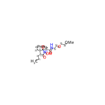 C=CC[C@@H]1C(=O)[N+](O)([C@H](C(=O)NCCOCCOC)C(C)(C)C)C(=O)[C@@H]1CC(C)C